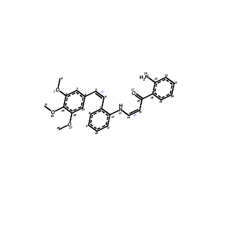 COc1cc(/C=C\c2ccccc2N/C=C\C(=O)c2ccccc2N)cc(OC)c1OC